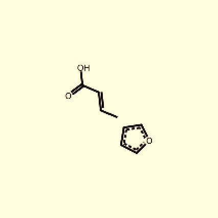 CC=CC(=O)O.c1ccoc1